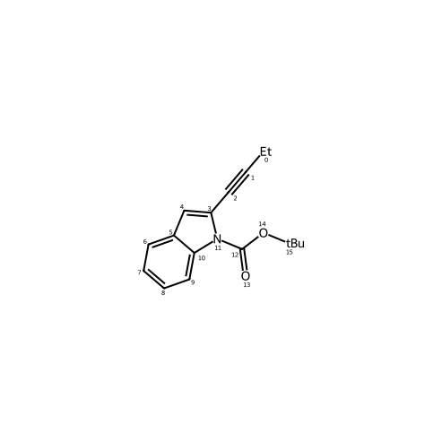 CCC#Cc1cc2ccccc2n1C(=O)OC(C)(C)C